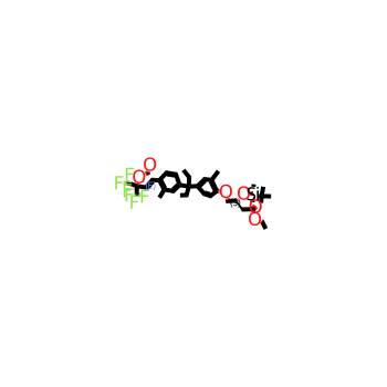 CCOC(=O)C[C@@H](COc1ccc(C(CC)(CC)c2ccc(/C=C/C(OCOC)(C(F)(F)F)C(F)(F)F)c(C)c2)cc1C)O[Si](C)(C)C(C)(C)C